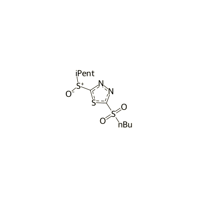 CCCCS(=O)(=O)c1nnc([S+]([O-])C(C)CCC)s1